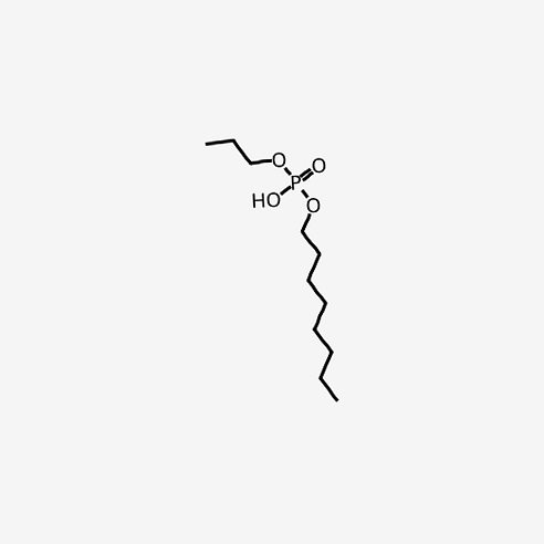 CCCCCCCCOP(=O)(O)OCCC